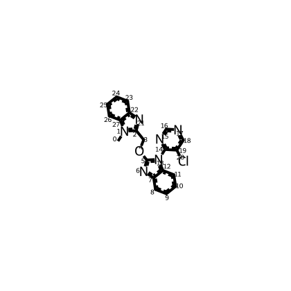 Cn1c(COc2nc3ccccc3n2-c2ncncc2Cl)nc2ccccc21